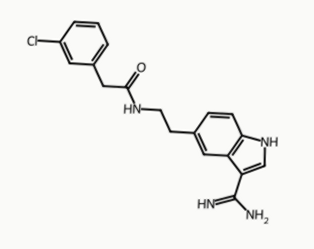 N=C(N)c1c[nH]c2ccc(CCNC(=O)Cc3cccc(Cl)c3)cc12